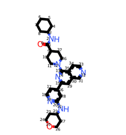 O=C(NC1CCCCC1)C1CCN(c2nc(-c3ccnc(NC4CCOCC4)c3)cc3cnccc23)CC1